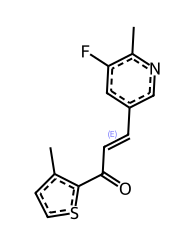 Cc1ccsc1C(=O)/C=C/c1cnc(C)c(F)c1